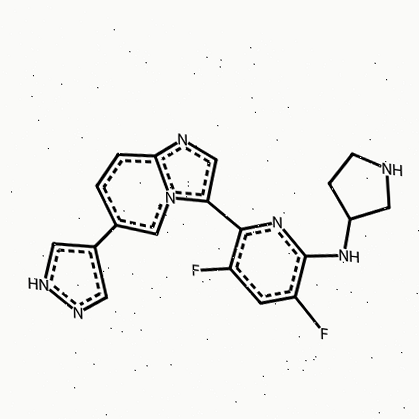 Fc1cc(F)c(-c2cnc3ccc(-c4cn[nH]c4)cn23)nc1NC1CCNC1